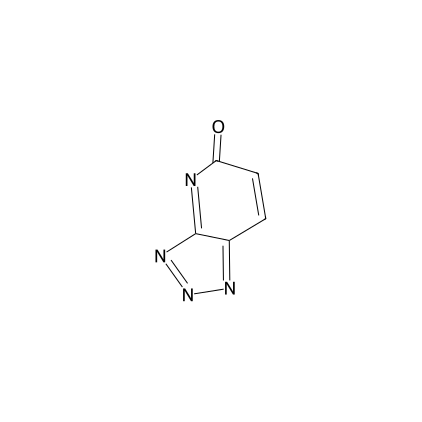 O=C1C=CC2=NN=NC2=N1